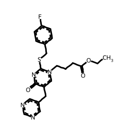 CCOC(=O)CCCn1cc(Cc2cncnc2)c(=O)nc1SCc1ccc(F)cc1